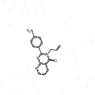 C=CCn1c(-c2ccc([N+](=O)[O-])cc2)nc2ncccc2c1=O